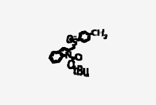 Cc1ccc([S+]([O-])Cc2cc3ccccc3n2C(=O)OC(C)(C)C)cc1